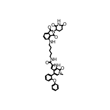 Cn1cc(-c2ccccc2Oc2ccccc2)c2cc(C(=O)NCCCCCNc3cccc4c3C(=O)N(C3CCC(=O)NC3=O)C4=O)[nH]c2c1=O